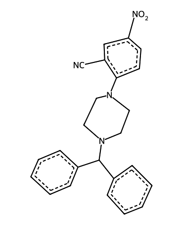 N#Cc1cc([N+](=O)[O-])ccc1N1CCN(C(c2ccccc2)c2ccccc2)CC1